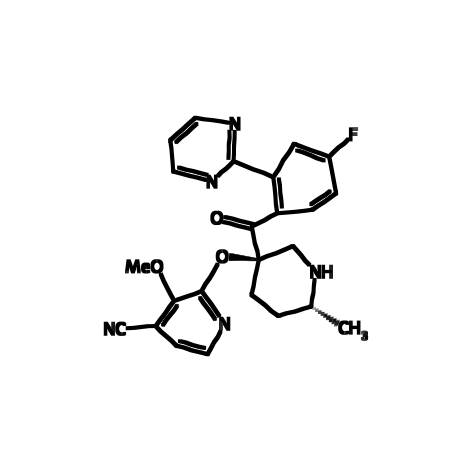 COc1c(C#N)ccnc1O[C@]1(C(=O)c2ccc(F)cc2-c2ncccn2)CC[C@@H](C)NC1